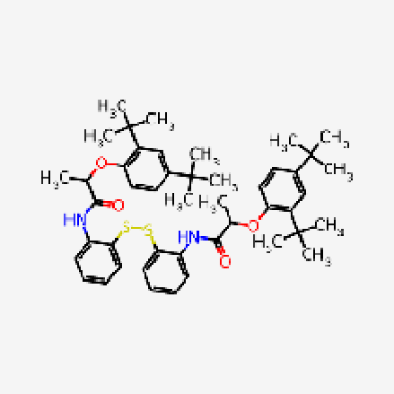 CC(Oc1ccc(C(C)(C)C)cc1C(C)(C)C)C(=O)Nc1ccccc1SSc1ccccc1NC(=O)C(C)Oc1ccc(C(C)(C)C)cc1C(C)(C)C